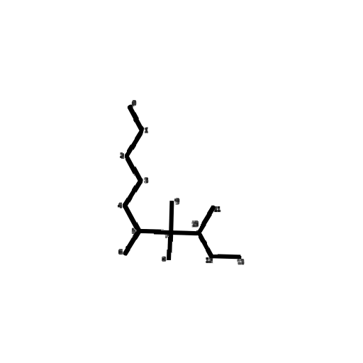 CCCCCC(C)C(C)(C)C(C)CC